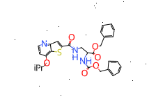 CC(C)Oc1ccnc2cc(C(=O)NCC(NC(=O)OCc3ccccc3)C(=O)OCc3ccccc3)sc12